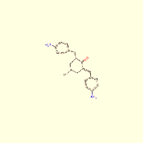 CCC1C/C(=C\c2ccc(N)cc2)C(=O)/C(=C/c2ccc(N)cc2)C1